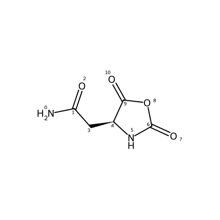 NC(=O)C[C@@H]1NC(=O)OC1=O